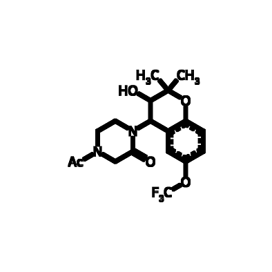 CC(=O)N1CCN(C2c3cc(OC(F)(F)F)ccc3OC(C)(C)C2O)C(=O)C1